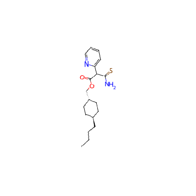 CCCC[C@H]1CC[C@H](COC(=O)C(C(N)=S)c2ccccn2)CC1